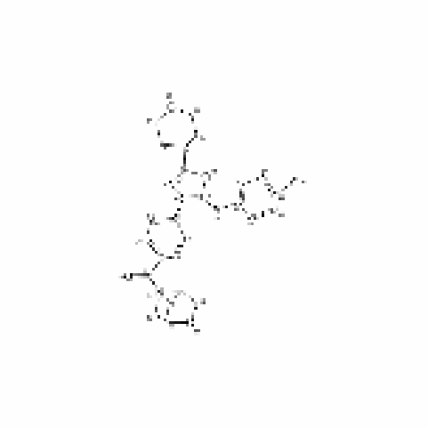 O=C(c1ccc(-c2nc(C3CCOCC3)oc2Sc2ccc(Cl)cc2)cc1)N1CC2CC1CO2